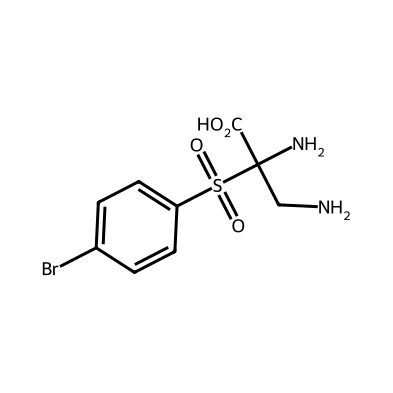 NCC(N)(C(=O)O)S(=O)(=O)c1ccc(Br)cc1